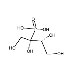 O=P(O)(O)[C@](O)(CO)[C@H](O)CO